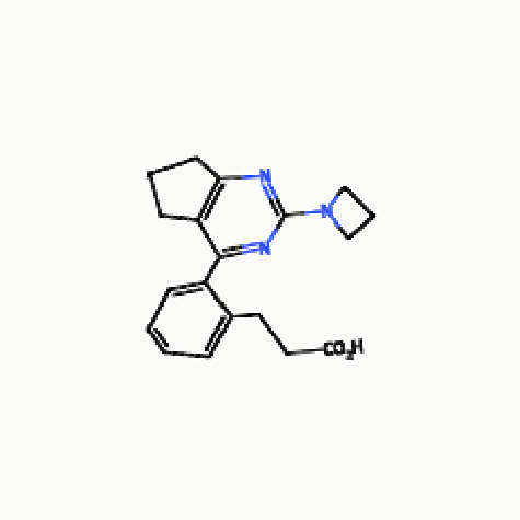 O=C(O)CCc1ccccc1-c1nc(N2CCC2)nc2c1CCC2